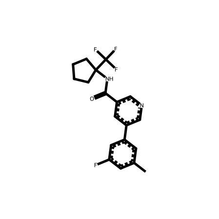 Cc1cc(F)cc(-c2cncc(C(=O)NC3(C(F)(F)F)CCCC3)c2)c1